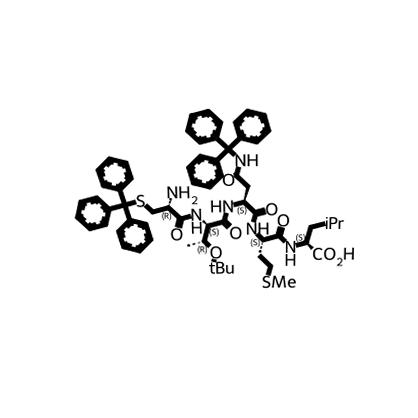 CSCC[C@H](NC(=O)[C@H](CC(=O)NC(c1ccccc1)(c1ccccc1)c1ccccc1)NC(=O)[C@@H](NC(=O)[C@@H](N)CSC(c1ccccc1)(c1ccccc1)c1ccccc1)[C@@H](C)OC(C)(C)C)C(=O)N[C@@H](CC(C)C)C(=O)O